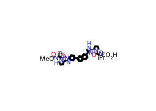 COC(=O)N[C@H](C(=O)N1CCCC1c1nc2cc(-c3ccc4ccc(-c5c[nH]c([C@@H]6CCCN6C(=O)[C@H](C(C)C)N(C)C(=O)O)n5)cc4c3)ccc2[nH]1)C(C)C